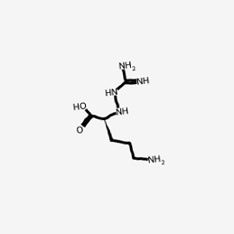 N=C(N)NN[C@@H](CCCN)C(=O)O